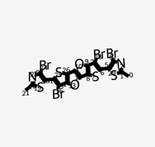 Cc1nc(Br)c(-c2sc3c(oc4c3oc3c(Br)c(-c5sc(C)nc5Br)sc34)c2Br)s1